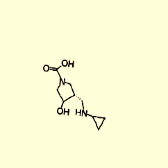 O=C(O)N1CC(O)[C@@H](CNC2CC2)C1